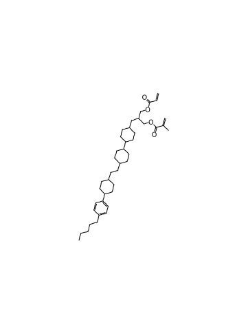 C=CC(=O)OCC(COC(=O)C(=C)C)CC1CCC(C2CCC(CCC3CCC(c4ccc(CCCCC)cc4)CC3)CC2)CC1